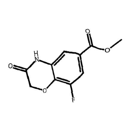 COC(=O)c1cc(F)c2c(c1)NC(=O)CO2